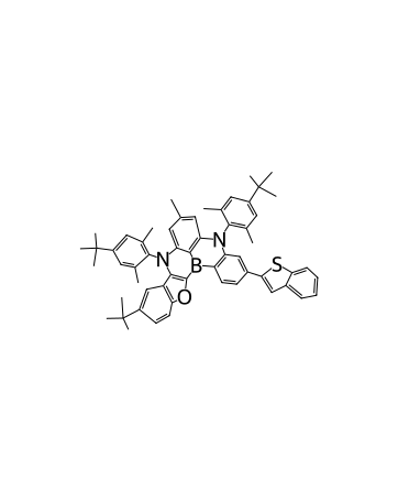 Cc1cc2c3c(c1)N(c1c(C)cc(C(C)(C)C)cc1C)c1c(oc4ccc(C(C)(C)C)cc14)B3c1ccc(-c3cc4ccccc4s3)cc1N2c1c(C)cc(C(C)(C)C)cc1C